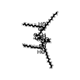 CCCCCCCCCC[C@@H](O)CC(CCCC[C@@H](NC(=O)[C@@H](CCCCN(C[C@H](O)CCCCCCCCCC)C[C@H](O)CCCCCCCCCC)NC(=O)OC(C)(C)C)C(=O)OC)C[C@H](O)CCCCCCCCCC